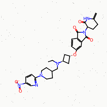 C=C1CCC(N2C(=O)c3ccc(O[C@H]4C[C@H](N(CC)CC5CCN(c6ccc([N+](=O)[O-])cn6)CC5)C4)cc3C2=O)C(=O)N1